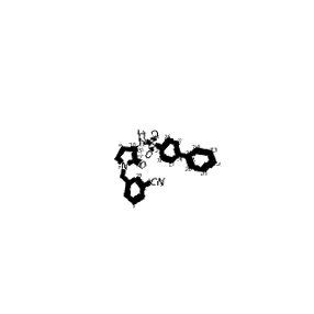 N#Cc1cccc(CN2CC[C@H](NS(=O)(=O)c3ccc(-c4ccccc4)cc3)C2=O)c1